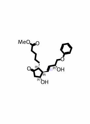 COC(=O)CCCC[C@H]1C(=O)C[C@@H](O)[C@@H]1/C=C/[C@@H](O)COc1ccccc1